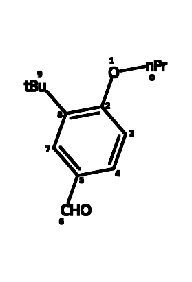 CCCOc1ccc(C=O)cc1C(C)(C)C